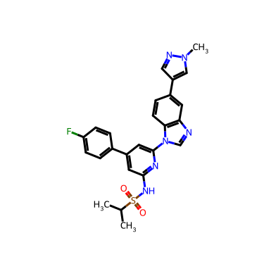 CC(C)S(=O)(=O)Nc1cc(-c2ccc(F)cc2)cc(-n2cnc3cc(-c4cnn(C)c4)ccc32)n1